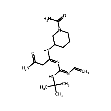 C=C/N=C(\N=C(/CC(N)=O)NC1CCCN(C(N)=O)C1)NC(C)(C)C